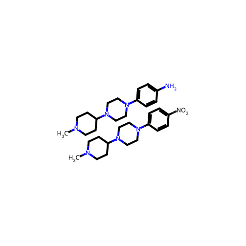 CN1CCC(N2CCN(c3ccc(N)cc3)CC2)CC1.CN1CCC(N2CCN(c3ccc([N+](=O)[O-])cc3)CC2)CC1